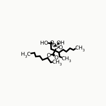 CCCCCC(CC)OC(=O)C(CC(=O)O)(C(CC)CCCCC)S(=O)(=O)O